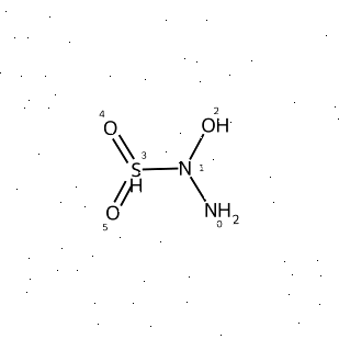 NN(O)[SH](=O)=O